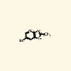 Cc1nc2ncc(Br)cc2s1